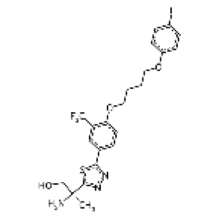 C[C@](N)(CO)c1nnc(-c2ccc(OCCCCOc3ccc(F)cc3)c(C(F)(F)F)c2)s1